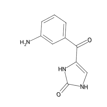 Nc1cccc(C(=O)c2c[nH]c(=O)[nH]2)c1